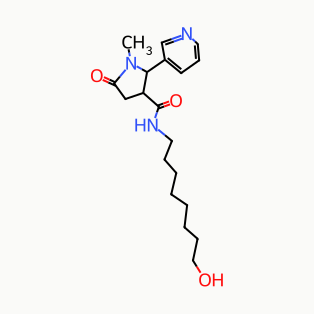 CN1C(=O)CC(C(=O)NCCCCCCCCO)C1c1cccnc1